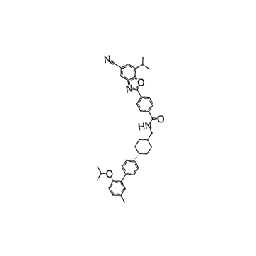 Cc1ccc(OC(C)C)c(-c2ccc([C@H]3CC[C@H](CNC(=O)c4ccc(-c5nc6cc(C#N)cc(C(C)C)c6o5)cc4)CC3)cc2)c1